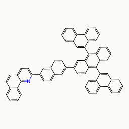 c1ccc2c(c1)cc(-c1c3ccccc3c(-c3cc4ccccc4c4ccccc34)c3cc(-c4ccc5cc(-c6ccc7ccc8ccccc8c7n6)ccc5c4)ccc13)c1ccccc12